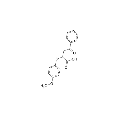 COc1ccc(SC(CC(=O)c2ccccc2)C(=O)O)cc1